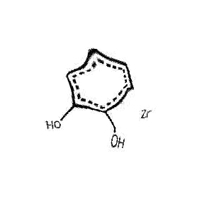 Oc1ccccc1O.[Zr]